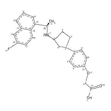 C[C@@H](NC1CCC(c2ccc(OCC(=O)O)cc2)C1)c1cccc2cc(F)ccc12